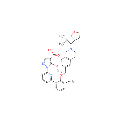 COc1c(C(=O)O)cnn1-c1cccc(-c2cccc(C)c2OCc2ccc3c(c2)CCN(C2C4CCOC4C2(C)C)C3)n1